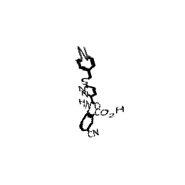 N#Cc1ccc(NC(=O)c2ccc(SCc3ccncc3)nn2)c(C(=O)O)c1